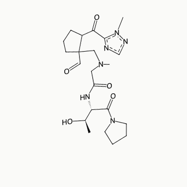 C[C@@H](O)[C@H](NC(=O)CN(C)CC1(C=O)CCCC1C(=O)c1ncnn1C)C(=O)N1CCCC1